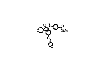 COC(=O)c1ccc(C(C)NC(=O)C2(c3cccc(OC[C@@H]4CCOC4)c3)CCOCC2)cc1